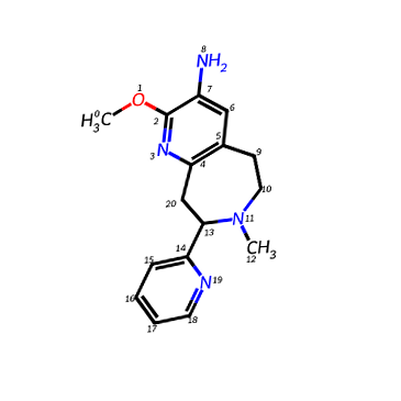 COc1nc2c(cc1N)CCN(C)C(c1ccccn1)C2